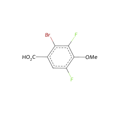 COc1c(F)cc(C(=O)O)c(Br)c1F